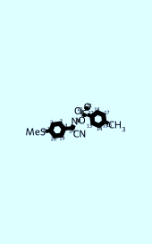 CSc1ccc(C(C#N)=NOS(=O)(=O)c2ccc(C)cc2)cc1